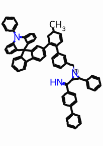 CC1C=CC(c2cccc(C[N@]3C(C(=N)c4ccc(-c5ccccc5)cc4)C3c3ccccc3)c2)=C(c2ccc3c(c2)C2(c4ccccc4-3)c3ccccc3N(c3ccccc3)c3ccccc32)C1